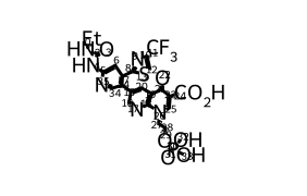 CCNC(=O)Nc1cc(-c2nc(C(F)(F)F)cs2)c(-c2cnc3c(c2)c(=O)c(C(=O)O)cn3CCOP(=O)(O)O)cn1